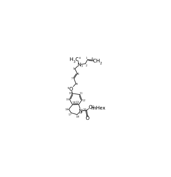 C=CCN(C)CC=CCOc1ccc2c(c1)CCCN2C(=O)OCCCCCC